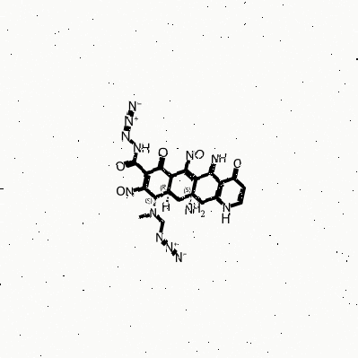 CN(CN=[N+]=[N-])[C@@H]1C(N=O)=C(C(=O)NN=[N+]=[N-])C(=O)C2C(N=O)=C3C(=N)c4c([nH]ccc4=O)C[C@@]3(N)C[C@H]21